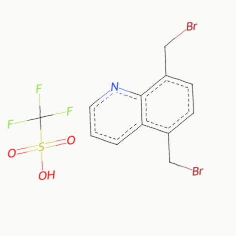 BrCc1ccc(CBr)c2ncccc12.O=S(=O)(O)C(F)(F)F